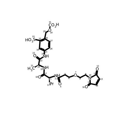 CC(C)[C@H](NC(=O)CCOCCN1C(=O)C=CC1=O)C(=O)N[C@@H](C)C(=O)Nc1ccc(COC(=O)O)c(S(=O)(=O)O)c1